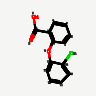 O=C(O)c1ccc[c]c1Oc1ccccc1Cl